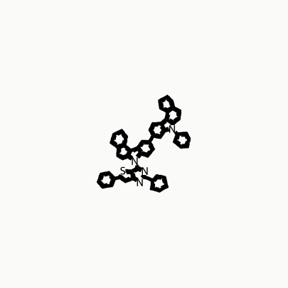 c1ccc(-c2nc(-n3c4ccc(-c5ccc6c7c8ccccc8ccc7n(-c7ccccc7)c6c5)cc4c4c5ccccc5ccc43)c3sc(-c4ccccc4)cc3n2)cc1